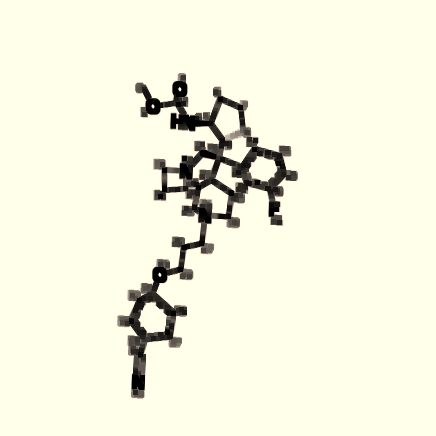 COC(=O)N[C@H]1CCC[C@@H]1[C@](CN1CCC1)(c1cccc(F)c1)C1CCN(CCCOc2ccc(C#N)cc2)CC1